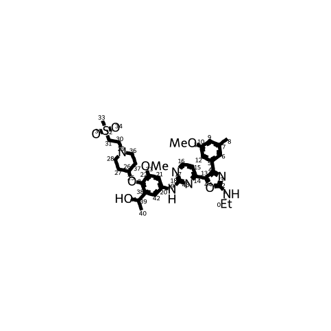 CCNc1nc(-c2cc(C)cc(OC)c2)c(-c2ccnc(Nc3cc(OC)c(OC4CCN(CCS(C)(=O)=O)CC4)c(C(C)O)c3)n2)o1